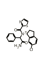 NC(=O)C(c1ccccc1)N(C(=O)c1nccs1)[C@@H]1CCc2ccc(Cl)cc21